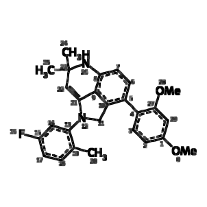 COc1ccc(-c2ccc3c4c2CN(c2cc(F)ccc2C)C4=CC(C)(C)N3)c(OC)c1